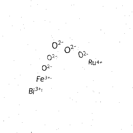 [Bi+3].[Fe+3].[O-2].[O-2].[O-2].[O-2].[O-2].[Ru+4]